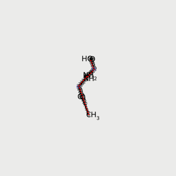 CCCCCCCCCCCCCCCCOC(=O)CCCCCCC/C=C\CCCCCCCCNC(CN)CCCCCCCC/C=C\CCCCCCCC(=O)O